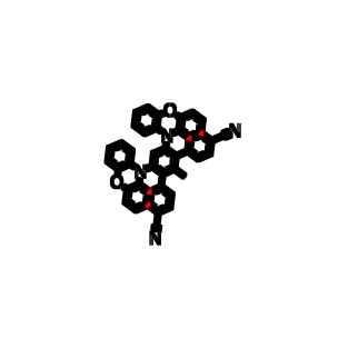 Cc1c(-c2ccc(C#N)cc2)c(N2c3ccccc3Oc3ccccc32)cc(N2c3ccccc3Oc3ccccc32)c1-c1ccc(C#N)cc1